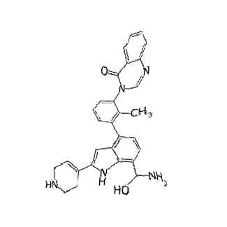 Cc1c(-c2ccc(C(N)O)c3[nH]c(C4=CCNCC4)cc23)cccc1-n1cnc2ccccc2c1=O